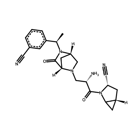 C[C@H](c1cccc(C#N)c1)N1C(=O)[C@@H]2C[C@H]1CN2C[C@H](N)C(=O)N1C2C[C@H]2C[C@H]1C#N